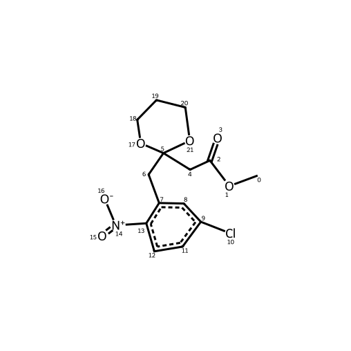 COC(=O)CC1(Cc2cc(Cl)ccc2[N+](=O)[O-])OCCCO1